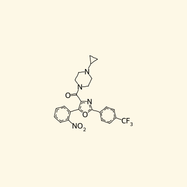 O=C(c1nc(-c2ccc(C(F)(F)F)cc2)oc1-c1ccccc1[N+](=O)[O-])N1CCN(C2CC2)CC1